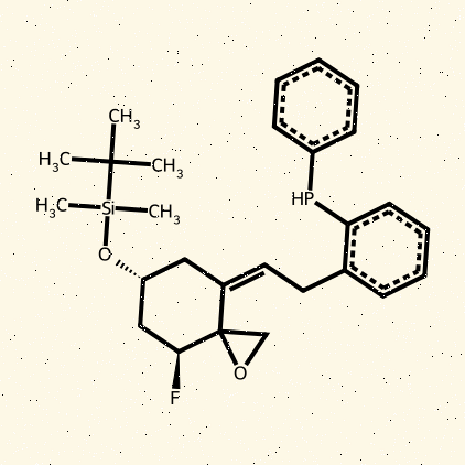 CC(C)(C)[Si](C)(C)O[C@@H]1C/C(=C/Cc2ccccc2Pc2ccccc2)C2(CO2)[C@@H](F)C1